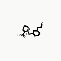 O=CCc1cccc(Nc2ncccc2C(=O)O)c1